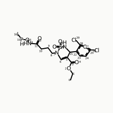 CCOC(=O)C1=CN(CCCC(=O)NOPI)S(=O)(=O)NC1c1ccc(Cl)cc1Cl